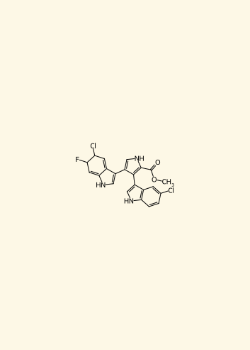 COC(=O)c1[nH]cc(-c2c[nH]c3c2=CC(Cl)C(F)C=3)c1-c1c[nH]c2ccc(Cl)cc12